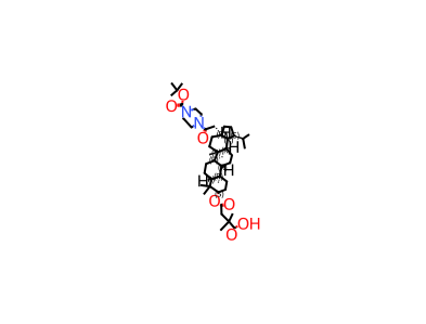 CC(C)[C@@H]1CC[C@]2(CC(=O)N3CCN(C(=O)OC(C)(C)C)CC3)CC[C@]3(C)[C@H](CC[C@@H]4[C@@]5(C)CC[C@H](OC(=O)CC(C)(C)C(=O)O)C(C)(C)[C@@H]5CC[C@]43C)[C@@H]12